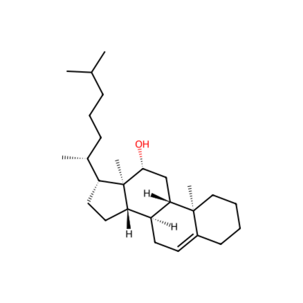 CC(C)CCC[C@@H](C)[C@H]1CC[C@H]2[C@@H]3CC=C4CCCC[C@]4(C)[C@H]3C[C@@H](O)[C@]12C